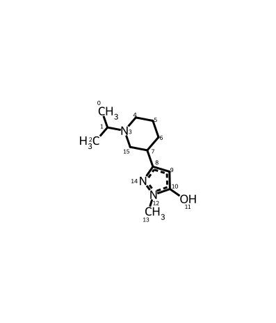 CC(C)N1CCCC(c2cc(O)n(C)n2)C1